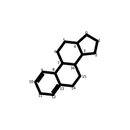 [C]1CCC2C1CCC1C3C=CCC=C3CCC21